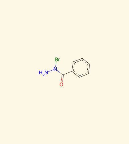 NN(Br)C(=O)c1ccccc1